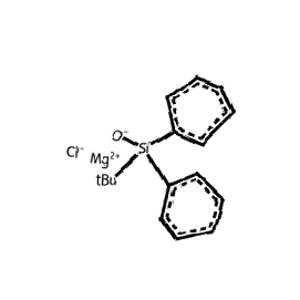 CC(C)(C)[Si]([O-])(c1ccccc1)c1ccccc1.[Cl-].[Mg+2]